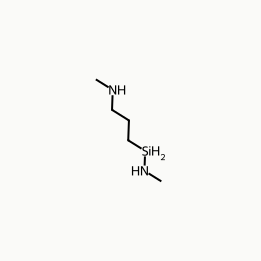 CNCCC[SiH2]NC